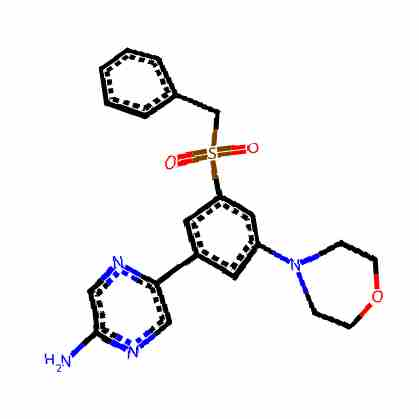 Nc1cnc(-c2cc(N3CCOCC3)cc(S(=O)(=O)Cc3ccccc3)c2)cn1